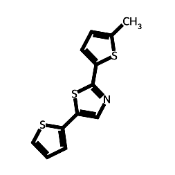 Cc1ccc(-c2ncc(-c3cccs3)s2)s1